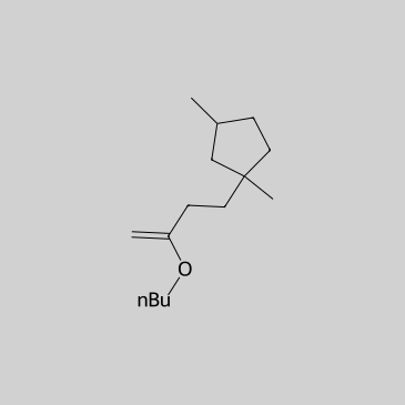 C=C(CCC1(C)CCC(C)C1)OCCCC